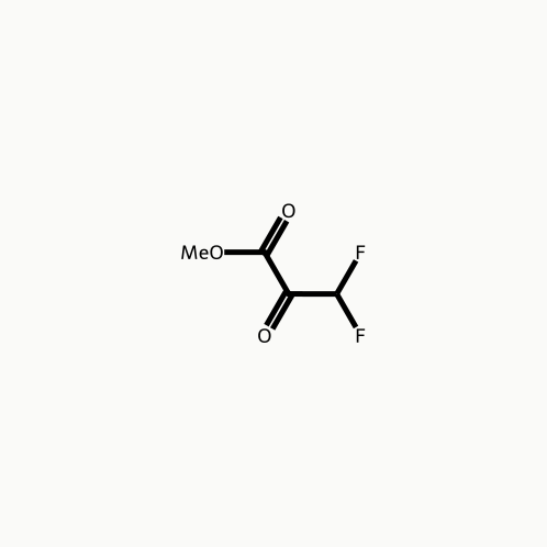 COC(=O)C(=O)C(F)F